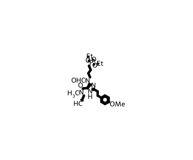 C#CCN(C)C(=O)c1[nH]c(CCc2ccc(OC)cc2)nc1N(C=O)CCCCP(=O)(OCC)OCC